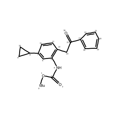 CC(C)(C)OC(=O)Nc1cc(C2CC2)ccc1CC(=O)c1ccccc1